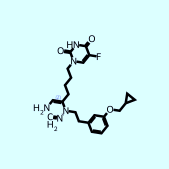 C=NN(CCc1cccc(OCC2CC2)c1)/C(=C\N)CCCCn1cc(F)c(=O)[nH]c1=O